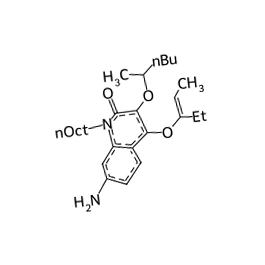 CC=C(CC)Oc1c(OC(C)CCCC)c(=O)n(CCCCCCCC)c2cc(N)ccc12